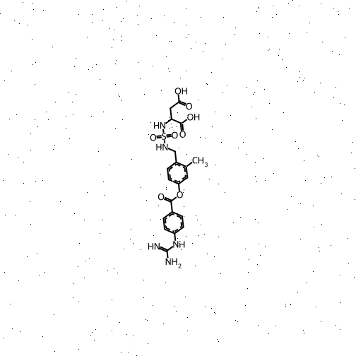 Cc1cc(OC(=O)c2ccc(NC(=N)N)cc2)ccc1CNS(=O)(=O)NC(CC(=O)O)C(=O)O